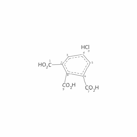 Cl.O=C(O)c1cccc(C(=O)O)c1C(=O)O